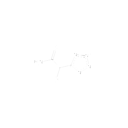 NC(=O)C(Br)c1nnn[nH]1